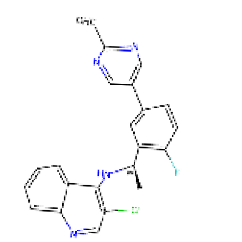 C[C@@H](Nc1c(Cl)cnc2ccccc12)c1cc(-c2cnc(C=O)nc2)ccc1F